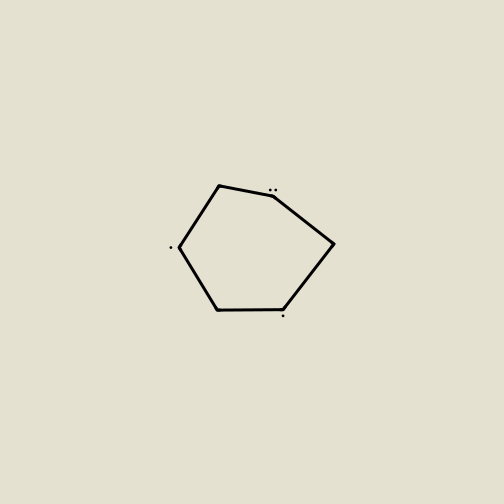 [C]1C[CH]C[CH]C1